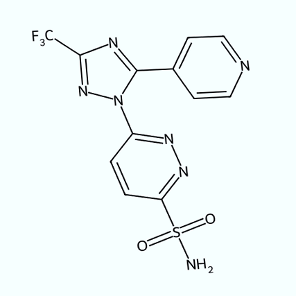 NS(=O)(=O)c1ccc(-n2nc(C(F)(F)F)nc2-c2ccncc2)nn1